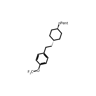 CCCCC[C@H]1CC[C@H](CCc2ccc(OC(F)(F)F)cc2)CC1